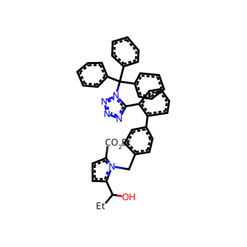 CCOC(=O)c1ccc(C(O)CC)n1Cc1ccc(-c2ccccc2-c2nnnn2C(c2ccccc2)(c2ccccc2)c2ccccc2)cc1